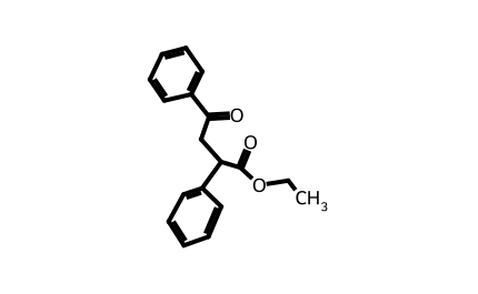 CCOC(=O)C(CC(=O)c1ccccc1)c1ccccc1